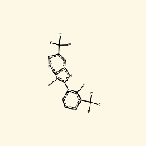 Cn1c(-c2cccc(C(F)(F)F)c2F)nc2cc(C(F)(F)F)cnc21